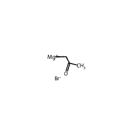 CC(=O)[CH2][Mg+].[Br-]